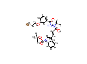 CC(C)N(NC(=O)c1cccc(OCCBr)c1)C(=O)C=Cc1cn(C(=O)OC(C)(C)C)c2ccccc12